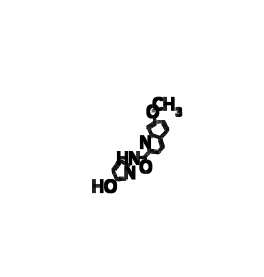 COc1ccc2ccc(C(=O)Nc3ccc(O)cn3)nc2c1